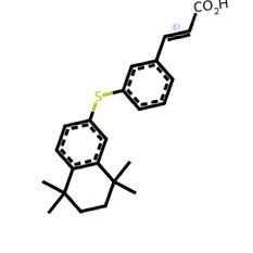 CC1(C)CCC(C)(C)c2cc(Sc3cccc(/C=C/C(=O)O)c3)ccc21